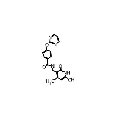 Cc1cc(C)c(CNC(=O)c2ccc(Oc3ncccn3)cc2)c(=O)[nH]1